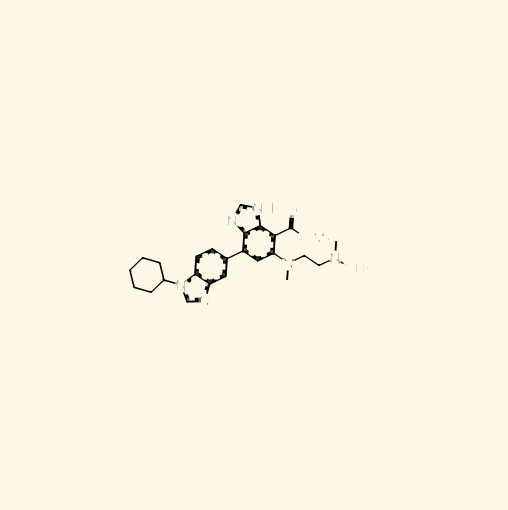 COC(=O)c1c(N(C)CCN(C)C=O)cc(-c2ccc3c(c2)ncn3C2CCCCC2)c2nc[nH]c12